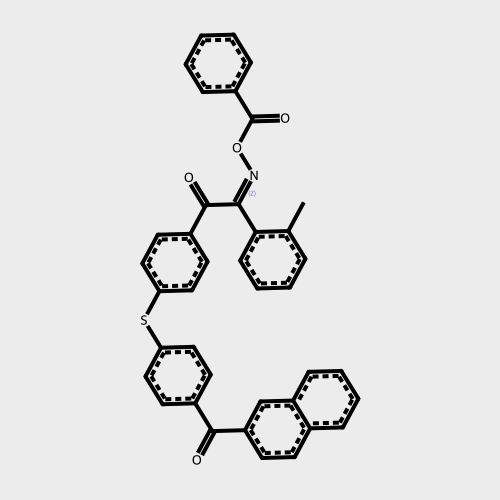 Cc1ccccc1/C(=N/OC(=O)c1ccccc1)C(=O)c1ccc(Sc2ccc(C(=O)c3ccc4ccccc4c3)cc2)cc1